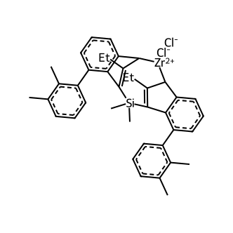 CCC1=C2c3c(-c4cccc(C)c4C)cccc3[CH]1[Zr+2][CH]1C(CC)=C(c3c(-c4cccc(C)c4C)cccc31)[Si]2(C)C.[Cl-].[Cl-]